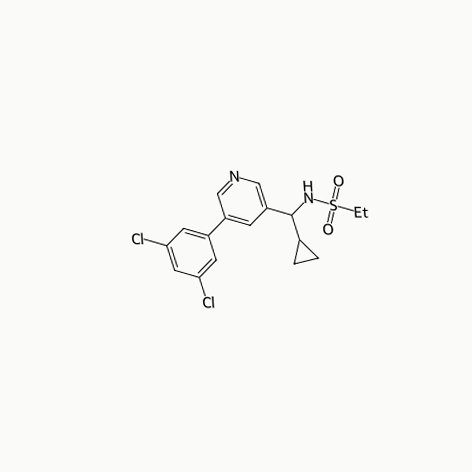 CCS(=O)(=O)NC(c1cncc(-c2cc(Cl)cc(Cl)c2)c1)C1CC1